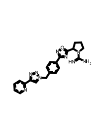 N=C(N)N1CCCC1c1nc(-c2ccc(Cn3cc(-c4ccccn4)nn3)cc2)no1